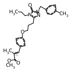 CCCn1c(CCCOc2ccc(/C=C(\C)C(=O)OC)cc2)nn(Cc2ccc(C)cc2)c1=O